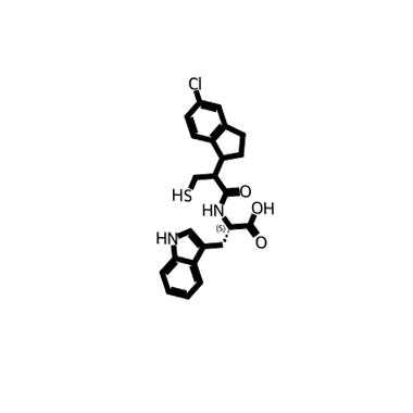 O=C(N[C@@H](Cc1c[nH]c2ccccc12)C(=O)O)C(CS)C1CCc2cc(Cl)ccc21